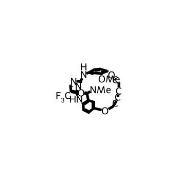 CNC(=O)c1cc2ccc1Nc1nc(ncc1C(F)(F)F)Nc1ccc(c(OC)c1)OCCCCCCO2